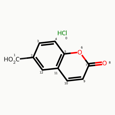 Cl.O=C(O)c1ccc2oc(=O)ccc2c1